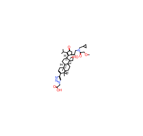 CC[C@@]12CC[C@@]3([C@@H](O)CN(CC4CC4)C(=O)COC)CC(=O)C(C(C)C)=C3[C@H]1CC[C@@H]1[C@@]3(C)CC=C(c4cn(CC(=O)O)nn4)C(C)(C)[C@@H]3CC[C@]12C